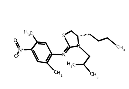 CCCC[C@H]1CSC(=Nc2cc(C)c([N+](=O)[O-])cc2C)N1CC(C)C